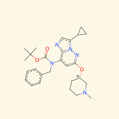 CN1CCC[C@H](Oc2cc(N(Cc3ccccc3)C(=O)OC(C)(C)C)c3ncc(C4CC4)n3n2)C1